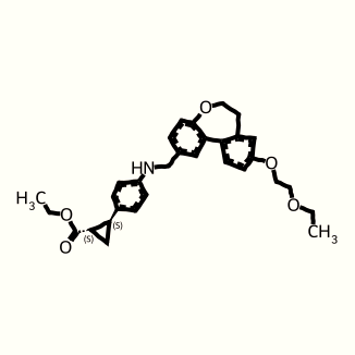 CCOCCOc1ccc2c(c1)CCOc1ccc(CNc3ccc([C@H]4C[C@@H]4C(=O)OCC)cc3)cc1-2